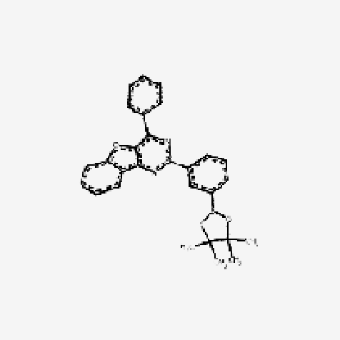 CC1(C)OB(c2cccc(-c3nc(-c4ccccc4)c4oc5ccccc5c4n3)c2)OC1(C)C